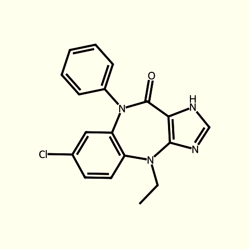 CCN1c2ccc(Cl)cc2N(c2ccccc2)C(=O)c2[nH]cnc21